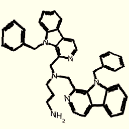 NCCCN(Cc1nccc2c3ccccc3n(Cc3ccccc3)c12)Cc1nccc2c3ccccc3n(Cc3ccccc3)c12